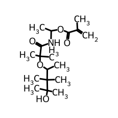 C=C(C)C(=O)OC(C)NC(=O)C(C)(C)OC(C)C(C)(C)C(C)(C)O